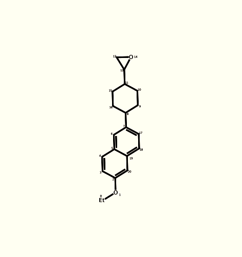 CCOc1ccc2cc(C3CCC(C4CO4)CC3)ccc2c1